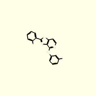 FC(F)(F)c1cccc(Nc2nccc3[nH]c(-c4ccccc4Cl)nc23)c1